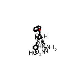 N/C(=N/[N+](=O)[O-])NCCC[C@@H](NC(=O)CC12CC3CC(CC(C3)C1)C2)C(=O)NCc1ccc(O)cc1